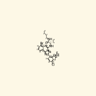 CCCCNC(=O)[C@H](CC)Nc1nc2c(Br)cccc2c2nc(-c3ccc(Cl)cc3OC(F)(F)F)nn12